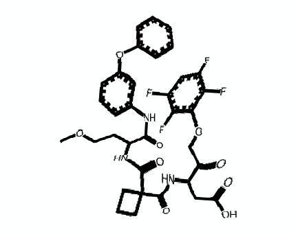 COCCC(NC(=O)C1(C(=O)NC(CC(=O)O)C(=O)COc2c(F)c(F)cc(F)c2F)CCC1)C(=O)Nc1cccc(Oc2ccccc2)c1